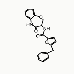 O=C(NC1COc2ccccc2NC1=O)c1ccc(Cc2ccccc2)o1